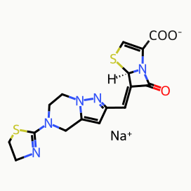 O=C([O-])C1=CS[C@@H]2/C(=C\c3cc4n(n3)CCN(C3=NCCS3)C4)C(=O)N12.[Na+]